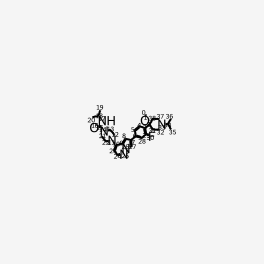 COC1(c2ccc(-c3cc4c(N5CCN(C(=O)NC(C)C)CC5)ccnn4c3)cc2F)CCN(C(C)C)CC1